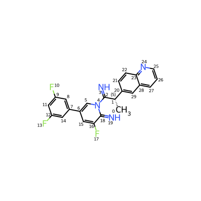 C[C@H](C(=N)n1cc(-c2cc(F)cc(F)c2)cc(F)c1=N)c1ccc2ncccc2c1